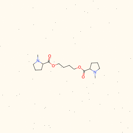 CN1CCCC1C(=O)OCCCCOC(=O)C1CCCN1C